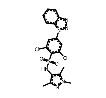 Cc1nn(C)c(C)c1NS(=O)(=O)c1c(Cl)cc(-n2nnc3ccccc32)cc1Cl